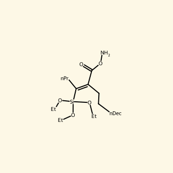 CCCCCCCCCCCCC(C(=O)ON)=C(CCC)[Si](OCC)(OCC)OCC